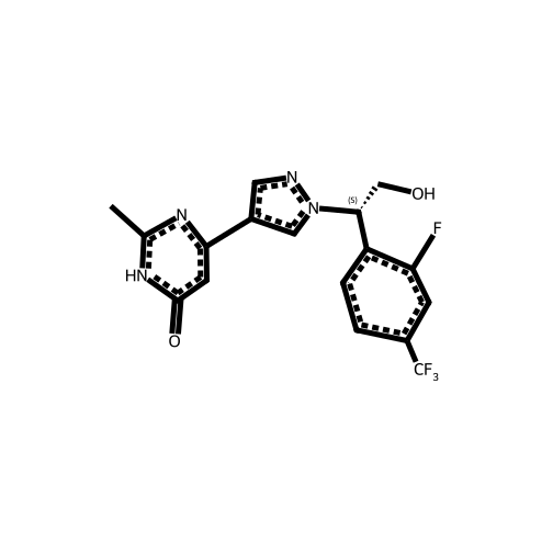 Cc1nc(-c2cnn([C@H](CO)c3ccc(C(F)(F)F)cc3F)c2)cc(=O)[nH]1